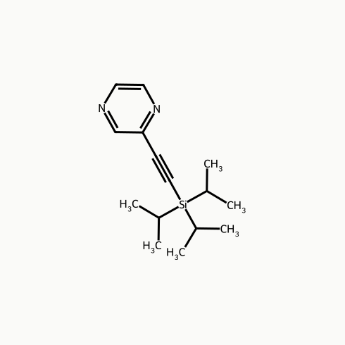 CC(C)[Si](C#Cc1cnccn1)(C(C)C)C(C)C